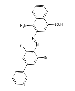 Nc1c(N=Nc2c(Br)cc(-c3cccnc3)cc2Br)cc(S(=O)(=O)O)c2ccccc12